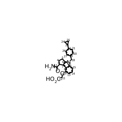 NC(=O)C1CCc2c1c1c(OCC(=O)O)cccc1n2Cc1ccc(C2CC2)cc1